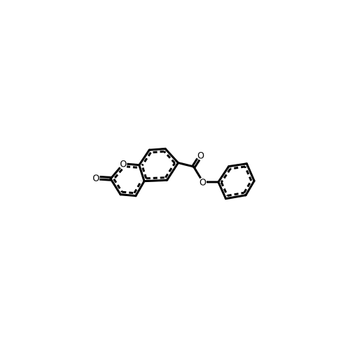 O=C(Oc1ccccc1)c1ccc2oc(=O)ccc2c1